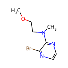 COCCN(C)c1nccnc1Br